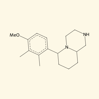 COc1ccc(C2CCCC3CNCCN32)c(C)c1C